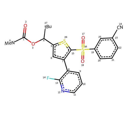 CNC(=O)OC(c1cc(-c2cccnc2F)c(S(=O)(=O)c2cccc(C#N)c2)s1)C(C)(C)C